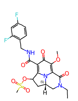 CCN1C[C@@H]2CC(OS(C)(=O)=O)c3c(C(=O)NCc4ccc(F)cc4F)c(=O)c(OC)c(n32)C1=O